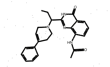 CCC(c1nc2c(NC(C)=O)cccc2c(=O)[nH]1)N1CC=C(c2ccccc2)CC1